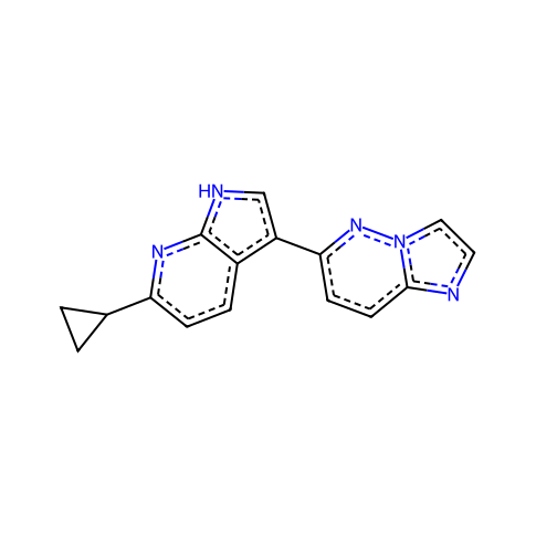 c1cn2nc(-c3c[nH]c4nc(C5CC5)ccc34)ccc2n1